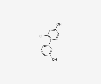 Oc1cccc(-c2[c]cc(O)cc2Cl)c1